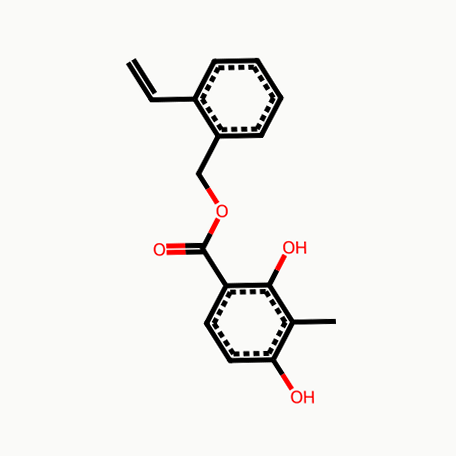 C=Cc1ccccc1COC(=O)c1ccc(O)c(C)c1O